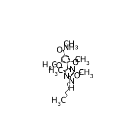 CCCCCNc1nc(C)c(-c2c(OC)cc(C(=O)NC)cc2OC)nc1OC